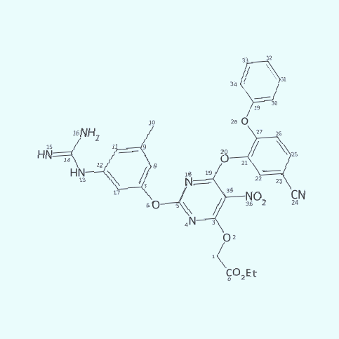 CCOC(=O)COc1nc(Oc2cc(C)cc(NC(=N)N)c2)nc(Oc2cc(C#N)ccc2Oc2ccccc2)c1[N+](=O)[O-]